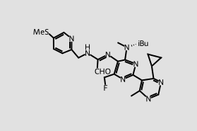 CC[C@@H](C)N(C)c1nc(-c2c(C)ncnc2C2CC2)nc(CF)c1/N=C(\C=O)NCc1ccc(SC)cn1